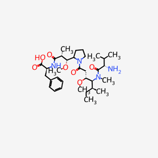 CC[C@H](C)[C@@H]([C@@H](CC(=O)N1CCCC1[C@H](OC)[C@@H](C)C(=O)N[C@@H](Cc1ccccc1)C(=O)O)OC)N(C)C(=O)[C@@H](N)C(C)C